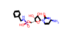 Nc1ccn([C@@H]2O[C@H](COP(=O)(O)NCc3ccccc3)[C@H](O)C2O)c(=O)n1